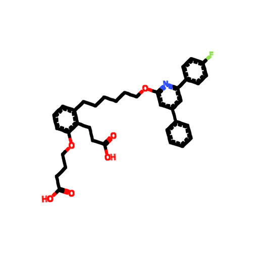 O=C(O)CCCOc1cccc(CCCCCCOc2cc(-c3ccccc3)cc(-c3ccc(F)cc3)n2)c1CCC(=O)O